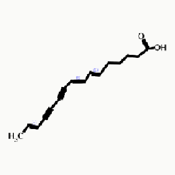 C/C=C/C#CC#C/C=C/C=C/CCCCC(=O)O